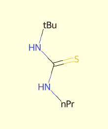 CCCNC(=S)NC(C)(C)C